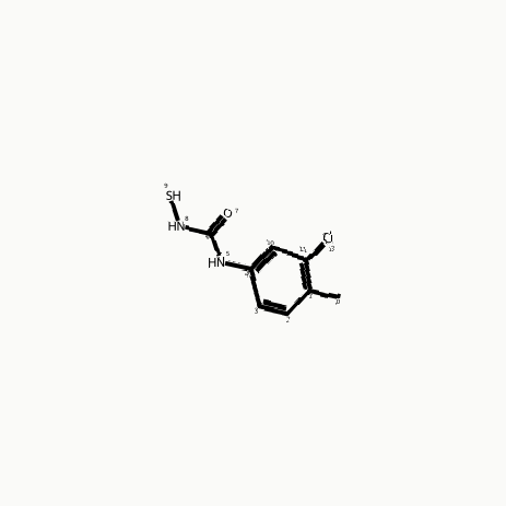 Cc1ccc(NC(=O)NS)cc1Cl